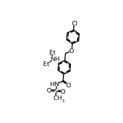 CCNCC.CS(=O)(=O)NC(=O)c1ccc(COc2ccc(Cl)cc2)cc1